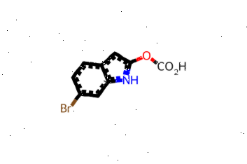 O=C(O)Oc1cc2ccc(Br)cc2[nH]1